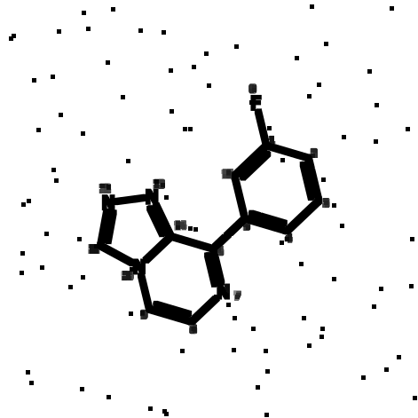 Fc1cccc(-c2nccn3cnnc23)c1